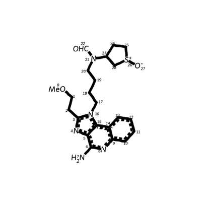 COCCc1nc2c(N)nc3ccccc3c2n1CCCCN(C=O)C1CC[S+]([O-])C1